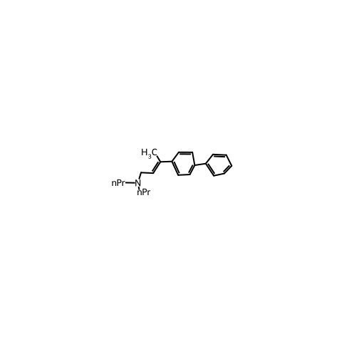 CCCN(CC=C(C)c1ccc(-c2ccccc2)cc1)CCC